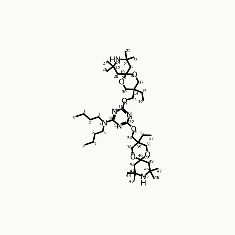 CCCCN(CCCC)c1nc(OCC2(CC)COC3(CC(C)(C)NC(C)(C)C3)OC2)nc(OCC2(CC)COC3(CC(C)(C)NC(C)(C)C3)OC2)n1